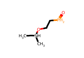 C[SiH](C)OCC[PH2]=O